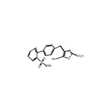 CCCc1oc(C(=O)O)nc1Cc1ccc(-c2ccccc2S(=O)(=O)NC(C)=O)cc1